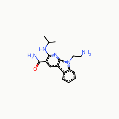 CC(C)Nc1nc2c(cc1C(N)=O)c1ccccc1n2CCN